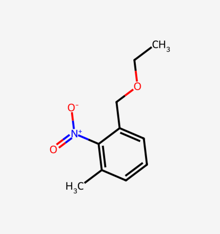 CCOCc1cccc(C)c1[N+](=O)[O-]